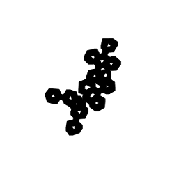 c1ccc(-c2ccc3c(c2)c2cc(-c4ccccc4)ccc2n3-c2c3ccccc3c(-c3cccc4oc5c(-c6c7ccccc7c(-c7ccccc7)c7ccccc67)cccc5c34)c3ccccc23)cc1